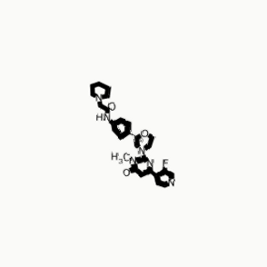 Cn1c(N2CCO[C@@H](c3ccc(NC(=O)CN4CCCCC4)cc3)C2)nc(-c2ccncc2F)cc1=O